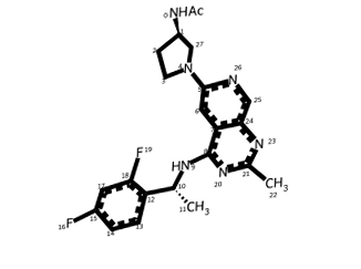 CC(=O)N[C@@H]1CCN(c2cc3c(N[C@H](C)c4ccc(F)cc4F)nc(C)nc3cn2)C1